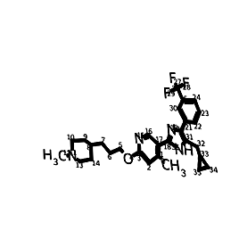 Cc1cc(OCCCC2CCN(C)CC2)ncc1-c1nc(-c2cccc(C(F)(F)F)c2)c(CC2CC2)[nH]1